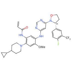 C=CC(=O)Nc1cc(Nc2cc(N3OCC[C@@H]3c3ccc(F)c(C(F)(F)F)c3)ncn2)c(OC)cc1N1CCC(C2CC2)CC1